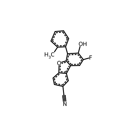 Cc1ccccc1-c1c(O)c(F)cc2c1oc1ccc(C#N)cc12